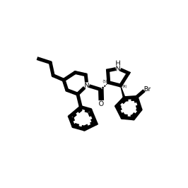 CCCC1CCN(C(=O)[C@@H]2CNC[C@H]2c2ccccc2Br)C(c2ccccc2)C1